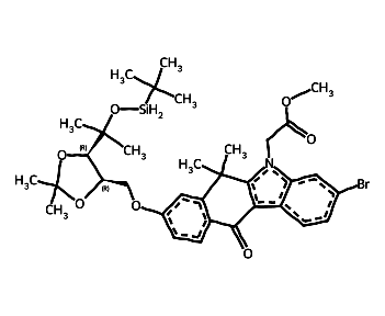 COC(=O)Cn1c2c(c3ccc(Br)cc31)C(=O)c1ccc(OC[C@H]3OC(C)(C)O[C@H]3C(C)(C)O[SiH2]C(C)(C)C)cc1C2(C)C